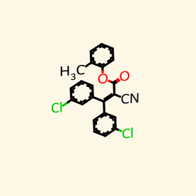 Cc1ccccc1OC(=O)C(C#N)=C(c1cccc(Cl)c1)c1cccc(Cl)c1